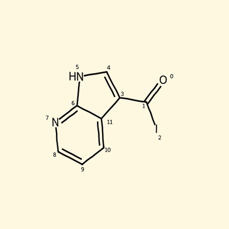 O=C(I)c1c[nH]c2ncccc12